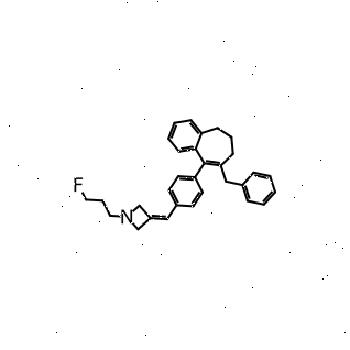 FCCCN1CC(=Cc2ccc(C3=C(Cc4ccccc4)CCCc4ccccc43)cc2)C1